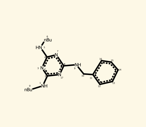 CCCCNc1nc(NCCCC)nc(NCc2ccccc2)n1